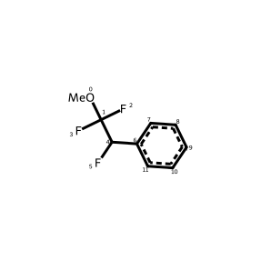 COC(F)(F)C(F)c1cc[c]cc1